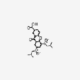 CC(C)C[S+]([O-])c1cc([S+]([O-])CC(C)C)c2oc3ccc(C(=O)O)cc3c(=O)c2c1